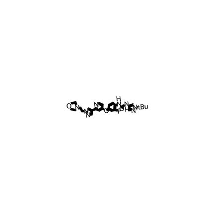 CC(C)(C)n1cc(NC(=O)Nc2ccc(Oc3ccnc(-c4cnn(CCN5CCOCC5)c4)c3)cc2F)cn1